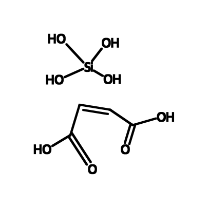 O=C(O)/C=C\C(=O)O.O[Si](O)(O)O